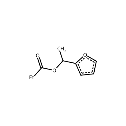 CCC(=O)OC(C)c1ccco1